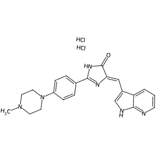 CN1CCN(c2ccc(C3=N/C(=C\c4c[nH]c5ncccc45)C(=O)N3)cc2)CC1.Cl.Cl